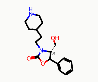 O=C1OC(c2ccccc2)[C@@H](CO)N1CCC1CCNCC1